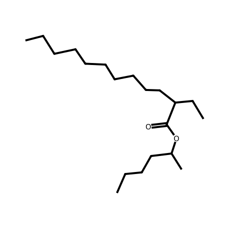 CCCCCCCCCCC(CC)C(=O)OC(C)CCCC